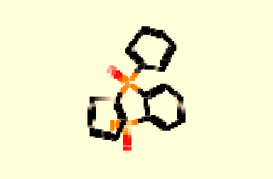 O=[PH2]c1ccccc1P(=O)(c1ccccc1)c1ccccc1